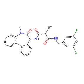 CC(C)C(C(=O)NCc1cc(F)cc(F)c1)C(=O)NC1C(=O)N(C)c2ccccc2-c2ccccc21